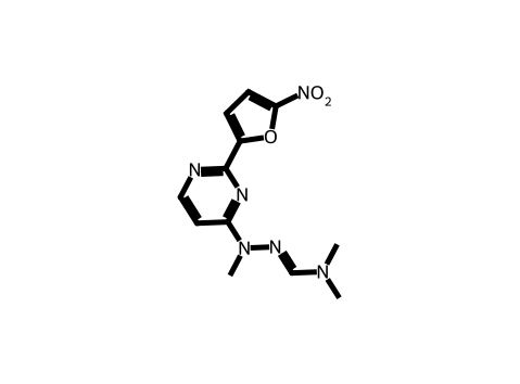 CN(C)C=NN(C)c1ccnc(-c2ccc([N+](=O)[O-])o2)n1